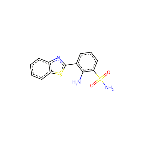 Nc1c(-c2nc3ccccc3s2)cccc1S(N)(=O)=O